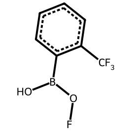 OB(OF)c1ccccc1C(F)(F)F